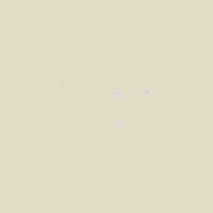 CC1=CCC=C2NCC(N)=NC2=C1